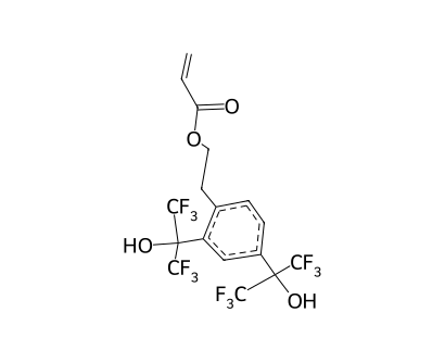 C=CC(=O)OCCc1ccc(C(O)(C(F)(F)F)C(F)(F)F)cc1C(O)(C(F)(F)F)C(F)(F)F